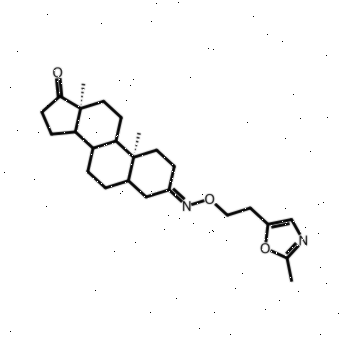 Cc1ncc(CCO/N=C2\CC[C@@]3(C)C(CCC4C3CC[C@]3(C)C(=O)CCC43)C2)o1